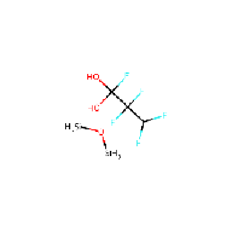 OC(O)(F)C(F)(F)C(F)F.[SiH3]O[SiH3]